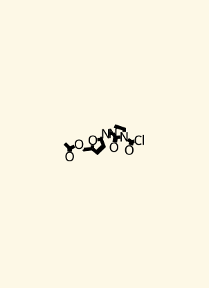 CC(=O)OCC1C=CC(=NN2CCN(C(=O)Cl)C2=O)O1